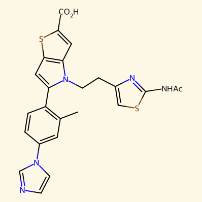 CC(=O)Nc1nc(CCn2c(-c3ccc(-n4ccnc4)cc3C)cc3sc(C(=O)O)cc32)cs1